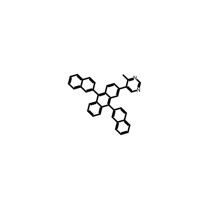 Cc1ncncc1-c1ccc2c(-c3ccc4ccccc4c3)c3ccccc3c(-c3ccc4ccccc4c3)c2c1